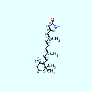 CC1=C(/C=C/C(C)=C/C=C/C(C)=C/c2cc(=O)[nH]s2)C(C)(C)CCC1